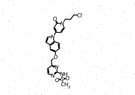 CS(=O)(=O)Nc1nccc(COc2ccc3c(ccn3-c3ccn(CCCCl)c(=O)c3)c2)n1